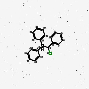 ClC(c1ccccc1)[SiH](c1ccccc1)c1ccccc1